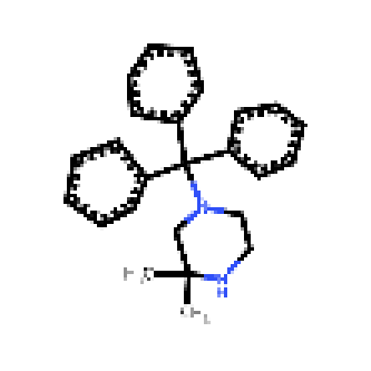 CC1(C)CN(C(c2ccccc2)(c2ccccc2)c2ccccc2)CCN1